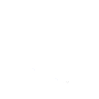 CON=Cc1cncc(C#Cc2ccccc2)c1